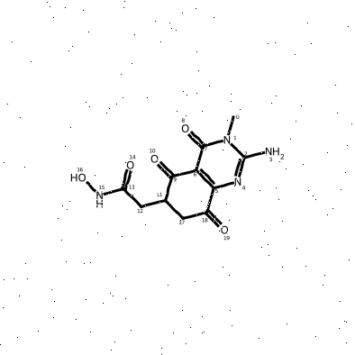 Cn1c(N)nc2c(c1=O)C(=O)C(CC(=O)NO)CC2=O